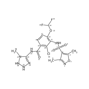 Cc1noc(C)c1S(=O)(=O)Nc1c(OC(F)F)ccc(C(=O)NC2=NNNN2C)c1Cl